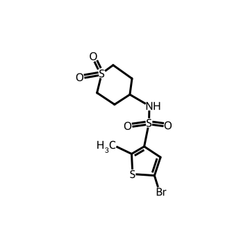 Cc1sc(Br)cc1S(=O)(=O)NC1CCS(=O)(=O)CC1